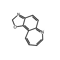 C1=CN=c2ccc3c(c2C=C1)OCN=3